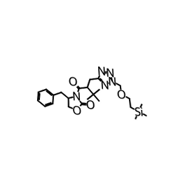 CC(C)(C)C(Cc1nnn(COCC[Si](C)(C)C)n1)C(=O)N1C(=O)OCC1Cc1ccccc1